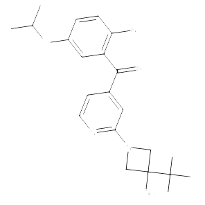 CC(C)Oc1ccc(N)c(C(=N)c2ccnc(N3CC(O)(C(F)(F)F)C3)c2)c1